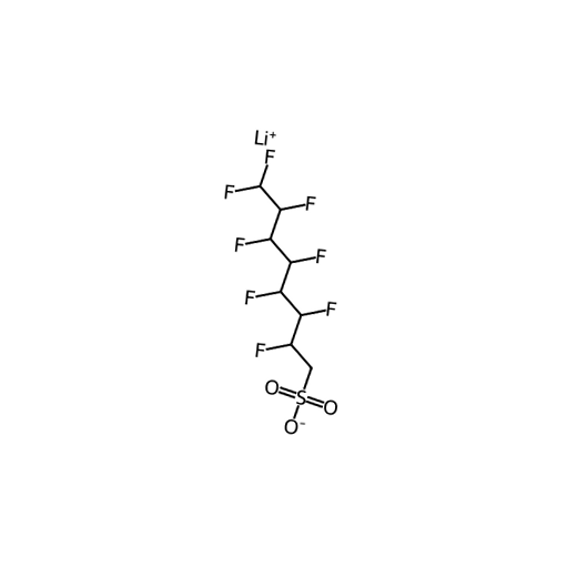 O=S(=O)([O-])CC(F)C(F)C(F)C(F)C(F)C(F)C(F)F.[Li+]